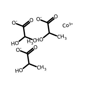 CC(O)C(=O)[O-].CC(O)C(=O)[O-].CC(O)C(=O)[O-].[Co+3]